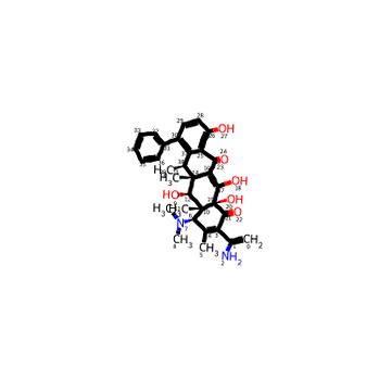 C=C(N)C1=C(C)[C@@H](N(C)C)[C@]2(C)[C@@H](O)[C@@]3(C)C(=C(O)[C@]2(O)C1=O)C(=O)c1c(O)ccc(-c2ccccc2)c1[C@@H]3C